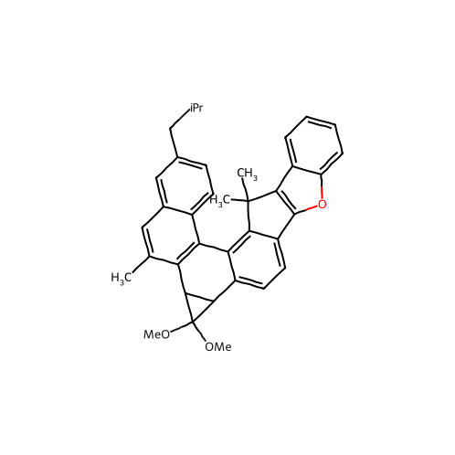 COC1(OC)C2c3ccc4c(c3-c3c(c(C)cc5cc(CC(C)C)ccc35)C21)C(C)(C)c1c-4oc2ccccc12